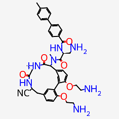 Cc1ccc(-c2ccc(C(=O)N[C@@H](CN)C(=O)N(C)[C@@H]3C(=O)N[C@@H](C)C(=O)N[C@H](C#N)Cc4ccc(OCCN)c(c4)-c4cc3ccc4OCCN)cc2)cc1